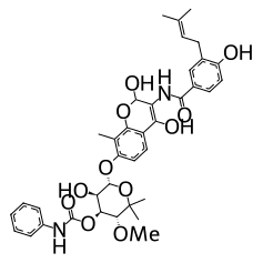 CO[C@@H]1[C@@H](OC(=O)Nc2ccccc2)[C@@H](O)[C@H](Oc2ccc3c(c2C)OC(O)C(NC(=O)c2ccc(O)c(CC=C(C)C)c2)=C3O)OC1(C)C